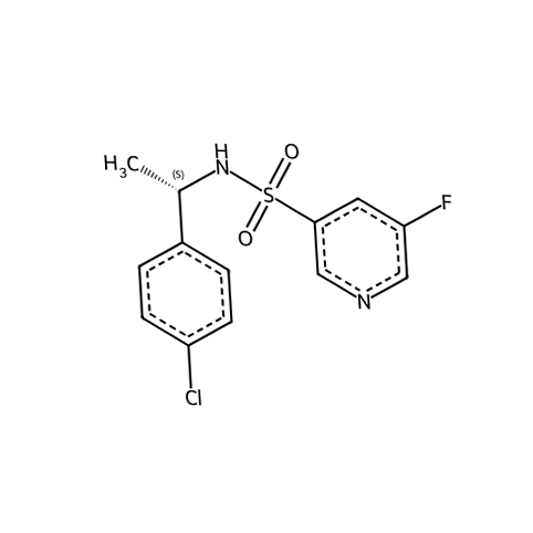 C[C@H](NS(=O)(=O)c1cncc(F)c1)c1ccc(Cl)cc1